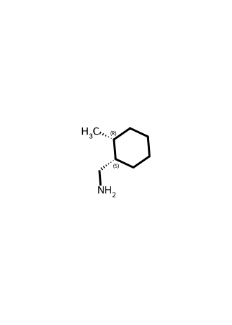 C[C@@H]1CCCC[C@@H]1CN